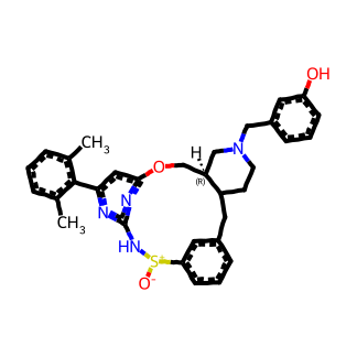 Cc1cccc(C)c1-c1cc2nc(n1)N[S+]([O-])c1cccc(c1)CC1CCN(Cc3cccc(O)c3)C[C@@H]1CO2